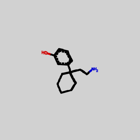 NCCC1(c2cccc(O)c2)CCCCC1